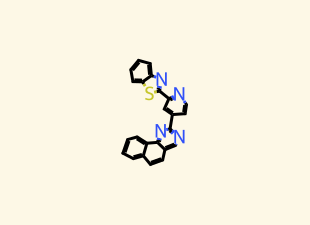 c1ccc2c(c1)ccc1cnc(-c3ccnc(-c4nc5ccccc5s4)c3)nc12